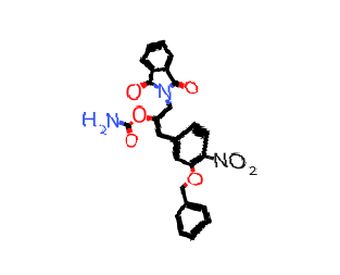 NC(=O)OC(Cc1ccc([N+](=O)[O-])c(OCc2ccccc2)c1)CN1C(=O)c2ccccc2C1=O